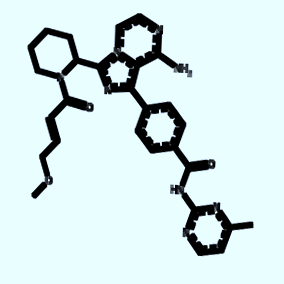 COCC=CC(=O)N1CCCCC1c1nc(-c2ccc(C(=O)Nc3nccc(C)n3)cc2)c2c(N)nccn12